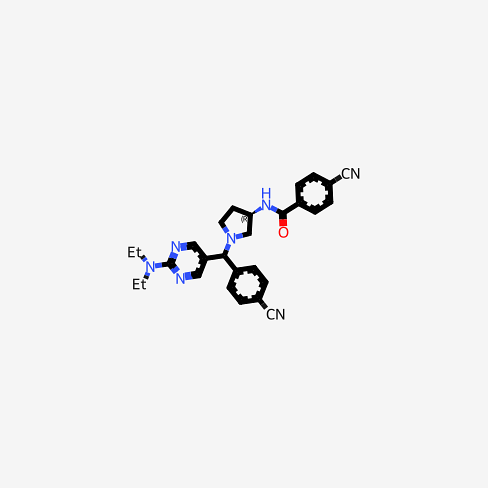 CCN(CC)c1ncc(C(c2ccc(C#N)cc2)N2CC[C@@H](NC(=O)c3ccc(C#N)cc3)C2)cn1